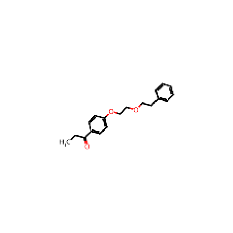 CCC(=O)c1ccc(OCCOCCc2ccccc2)cc1